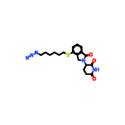 [N-]=[N+]=NCCCCCCSc1cccc2c1CN(C1CCC(=O)NC1=O)C2=O